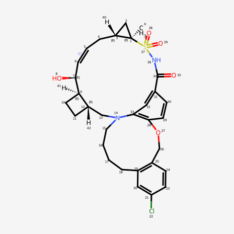 C[C@@]12C[C@H]1C/C=C\[C@H](O)[C@@H]1CC[C@H]1CN1CCCCc3cc(Cl)ccc3COc3ccc(cc31)C(=O)NS2(=O)=O